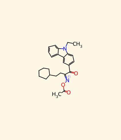 CCn1c2ccccc2c2cc(C(=O)/C(CCC3CCCCC3)=N/OC(C)=O)ccc21